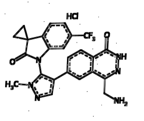 Cl.Cn1ncc(-c2ccc3c(=O)[nH]nc(CN)c3c2)c1N1C(=O)C2(CC2)c2ccc(C(F)(F)F)cc21